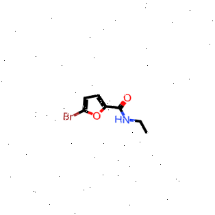 CCNC(=O)c1ccc(Br)o1